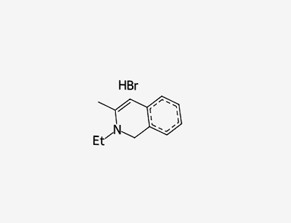 Br.CCN1Cc2ccccc2C=C1C